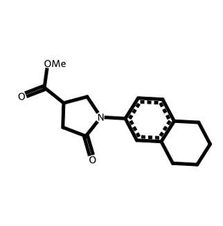 COC(=O)C1CC(=O)N(c2ccc3c(c2)CCCC3)C1